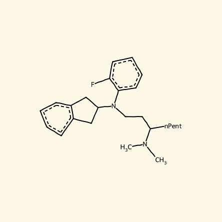 CCCCCC(CCN(c1ccccc1F)C1Cc2ccccc2C1)N(C)C